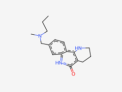 CCCN(C)Cc1ccc2c3c(c(=O)[nH]c2c1)CCCN3